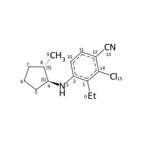 CCc1c(N[C@H]2CCC[C@@H]2C)ccc(C#N)c1Cl